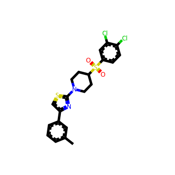 Cc1cccc(-c2csc(N3CCC(S(=O)(=O)c4ccc(Cl)c(Cl)c4)CC3)n2)c1